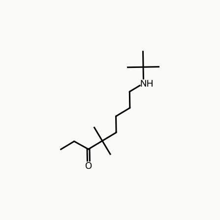 CCC(=O)C(C)(C)CCCCNC(C)(C)C